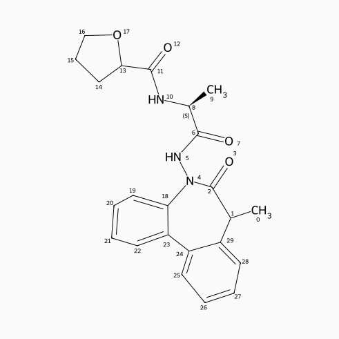 CC1C(=O)N(NC(=O)[C@H](C)NC(=O)C2CCCO2)c2ccccc2-c2ccccc21